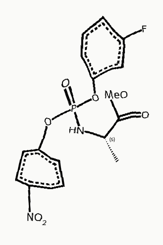 COC(=O)[C@H](C)NP(=O)(Oc1ccc([N+](=O)[O-])cc1)Oc1cccc(F)c1